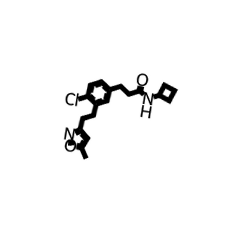 Cc1cc(CCc2cc(CCC(=O)NC3CCC3)ccc2Cl)no1